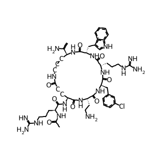 C=C(N)[C@@H]1CCCNC(=O)CC[C@H](NC(=O)[C@H](CCCNC(=N)N)NC(C)=O)C(=O)N[C@@H](CCN)C(=O)N[C@H](Cc2cccc(Cl)c2)C(=O)N[C@@H](CCCNC(=N)N)C(=O)N[C@@H](Cc2c[nH]c3ccccc23)C(=O)N1